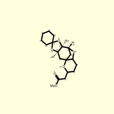 COC(=O)CC1CCC2O[C@@H]3CC2(C[C@H]2OC4(CCCCC4)O[C@@H]32)O1